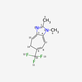 Cc1nc2c(n1C)=CC=C(C(F)(F)F)CC=2